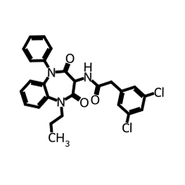 CCCN1C(=O)C(NC(=O)Cc2cc(Cl)cc(Cl)c2)C(=O)N(c2ccccc2)c2ccccc21